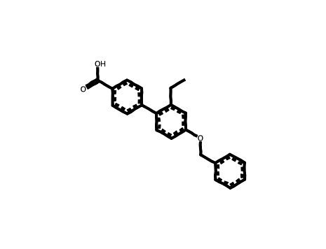 CCc1cc(OCc2ccccc2)ccc1-c1ccc(C(=O)O)cc1